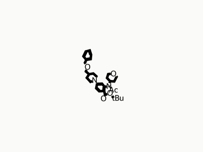 CC(=O)N(c1cc(N2CCC(COCc3ccccc3)CC2)ccc1C(=O)OC(C)(C)C)C1CCOCC1